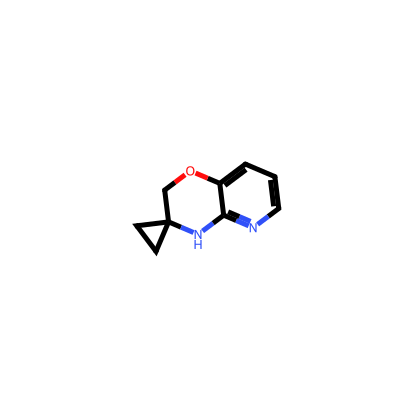 c1cnc2c(c1)OCC1(CC1)N2